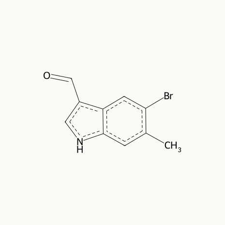 Cc1cc2[nH]cc(C=O)c2cc1Br